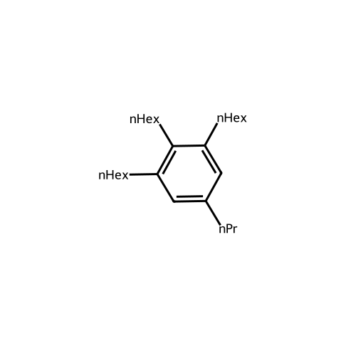 [CH2]CCc1cc(CCCCCC)c(CCCCCC)c(CCCCCC)c1